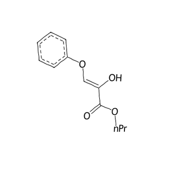 CCCOC(=O)/C(O)=C/Oc1ccccc1